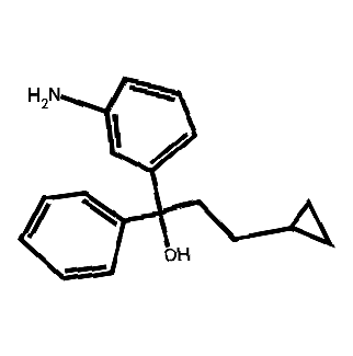 Nc1cccc(C(O)(CCC2CC2)c2ccccc2)c1